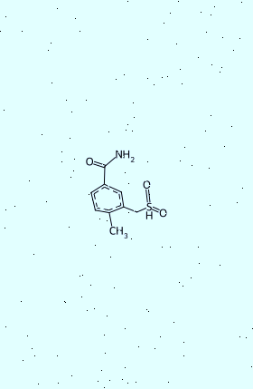 Cc1ccc(C(N)=O)cc1C[SH](=O)=O